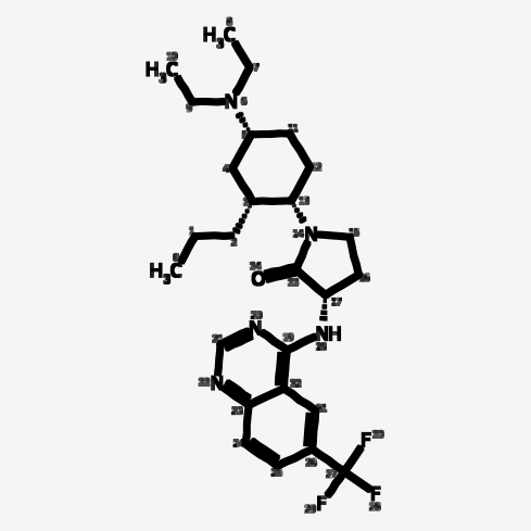 CCC[C@@H]1C[C@H](N(CC)CC)CC[C@@H]1N1CC[C@H](Nc2ncnc3ccc(C(F)(F)F)cc23)C1=O